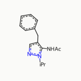 CC(=O)Nc1c(Cc2ccccc2)cnn1C(C)C